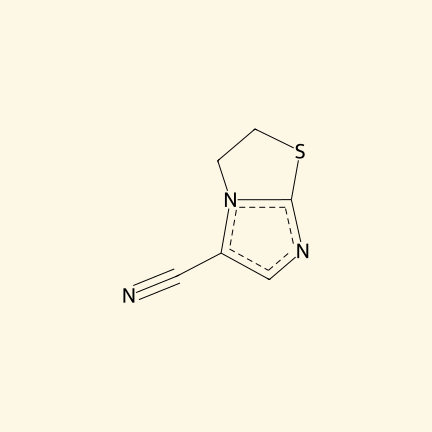 N#Cc1cnc2n1CCS2